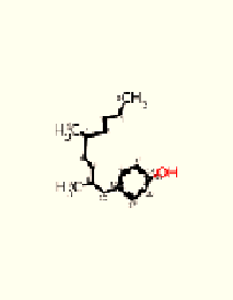 CCCCC(C)CCC(C)Cc1ccc(O)cc1